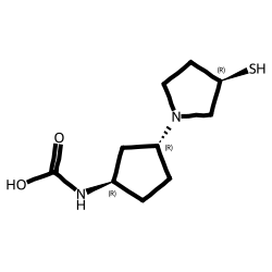 O=C(O)N[C@@H]1CC[C@@H](N2CC[C@@H](S)C2)C1